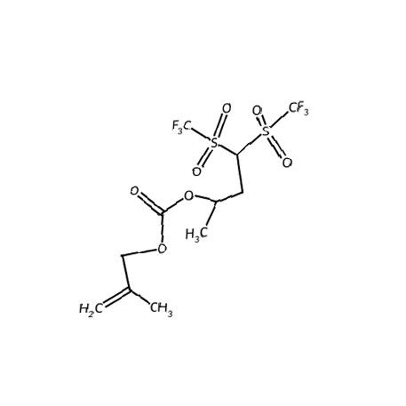 C=C(C)COC(=O)OC(C)CC(S(=O)(=O)C(F)(F)F)S(=O)(=O)C(F)(F)F